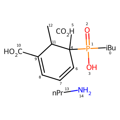 CCC(C)P(=O)(O)C1(C(=O)O)C=CC=C(C(=O)O)C1C.CCCN